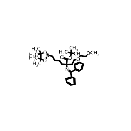 COCCOCCC(CCCCB1OC(C)(C)C(C)(C)O1)(N=C(c1ccccc1)c1ccccc1)C(=O)OC(C)(C)C